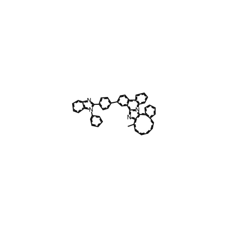 Cc1cccccc2ccccc2c2c1nc1c3cc(-c4ccc(-c5nc6ccccc6n5-c5ccccc5)cc4)ccc3c3ccccc3n12